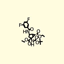 CCOC(=O)[C@H]1C2C(NC(=O)c3cc(F)cc(F)c3)CC(NC(=O)OC(C)(C)C)(C(=O)OCC)C21